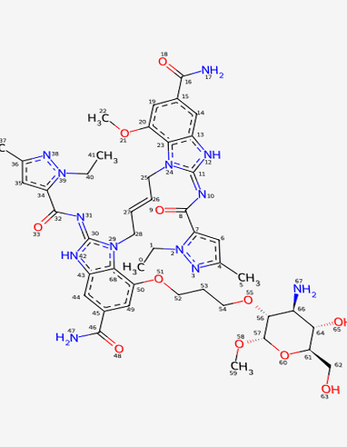 CCn1nc(C)cc1C(=O)/N=c1/[nH]c2cc(C(N)=O)cc(OC)c2n1C/C=C/Cn1/c(=N/C(=O)c2cc(C)nn2CC)[nH]c2cc(C(N)=O)cc(OCCCO[C@H]3[C@@H](OC)O[C@H](CO)[C@@H](O)[C@@H]3N)c21